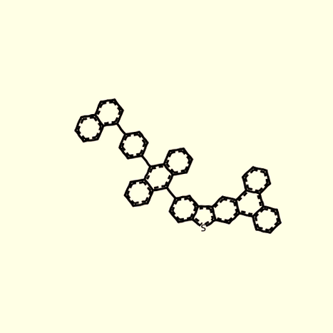 c1ccc2c(-c3ccc(-c4c5ccccc5c(-c5ccc6sc7cc8c9ccccc9c9ccccc9c8cc7c6c5)c5ccccc45)cc3)cccc2c1